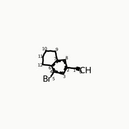 C#Cc1cc(Br)c2c(c1)CCCC2